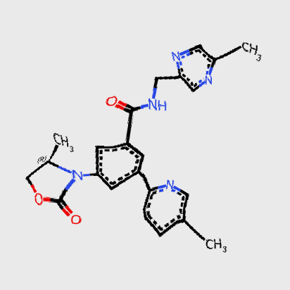 Cc1ccc(-c2cc(C(=O)NCc3cnc(C)cn3)cc(N3C(=O)OC[C@H]3C)c2)nc1